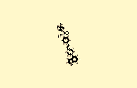 O=C(N[C@H]1CC[C@H](CCN2CCN(c3cccc4sccc34)CC2)CC1)N1CC(F)(F)C1